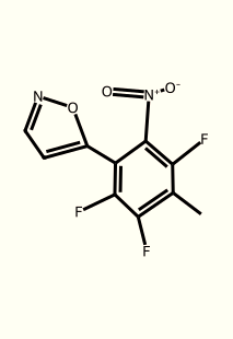 Cc1c(F)c(F)c(-c2ccno2)c([N+](=O)[O-])c1F